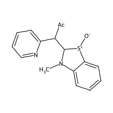 CC(=O)C(c1ccccn1)C1N(C)c2ccccc2[S+]1[O-]